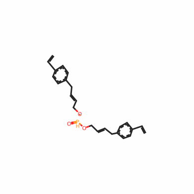 C=Cc1ccc(CC=CCO[PH](=O)OCC=CCc2ccc(C=C)cc2)cc1